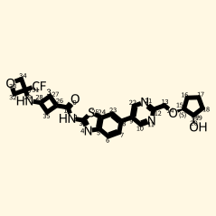 O=C(Nc1nc2ccc(-c3cnc(CO[C@H]4CCC[C@@H]4O)nc3)cc2s1)C1CC(NC2(C(F)(F)F)COC2)C1